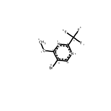 COc1nc(C(F)(F)F)ncc1Br